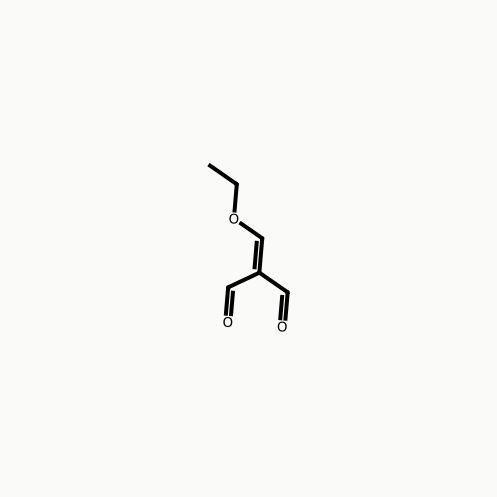 CCOC=C(C=O)C=O